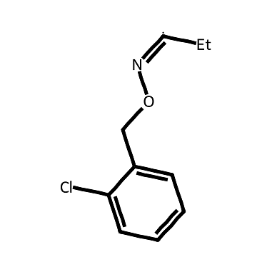 CC/[C]=N\OCc1ccccc1Cl